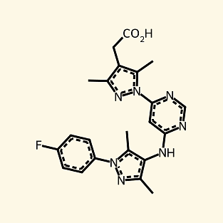 Cc1nn(-c2cc(Nc3c(C)nn(-c4ccc(F)cc4)c3C)ncn2)c(C)c1CC(=O)O